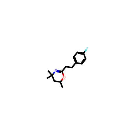 CC1CC(C)(C)N=C(CCc2ccc(F)cc2)O1